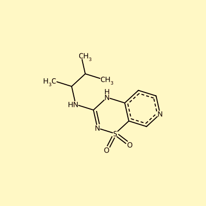 CC(C)C(C)NC1=NS(=O)(=O)c2cnccc2N1